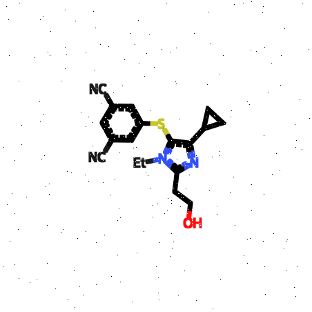 CCn1c(CCO)nc(C2CC2)c1Sc1cc(C#N)cc(C#N)c1